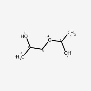 [CH2]C(O)COC(C)O